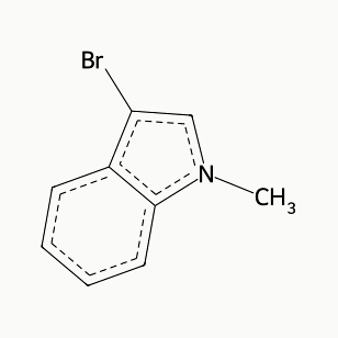 Cn1cc(Br)c2ccccc21